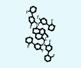 Fc1ccccc1-c1ccc(F)c(N(c2cc(-c3ccccc3F)ccc2F)c2ccc3ccc4c(N(c5cc(-c6ccccc6F)ccc5F)c5cc(-c6ccccc6F)ccc5F)ccc5ccc2c3c54)c1